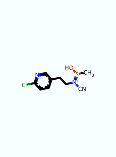 CS(O)=[N+](C#N)CCc1ccc(Cl)nc1